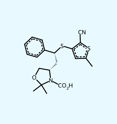 Cc1cc(S[C@H](C[C@H]2COC(C)(C)N2C(=O)O)c2ccccc2)c(C#N)s1